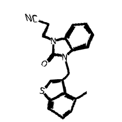 Cc1cccc2scc(Cn3c(=O)n(CCC#N)c4ccccc43)c12